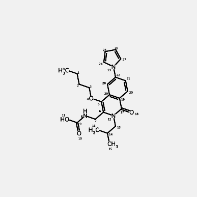 CCCCOc1c(CNC(=O)O)n(CC(C)C)c(=O)c2ccc(-n3cccc3)cc12